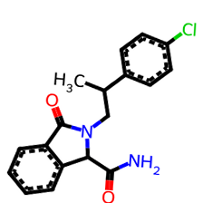 CC(CN1C(=O)c2ccccc2C1C(N)=O)c1ccc(Cl)cc1